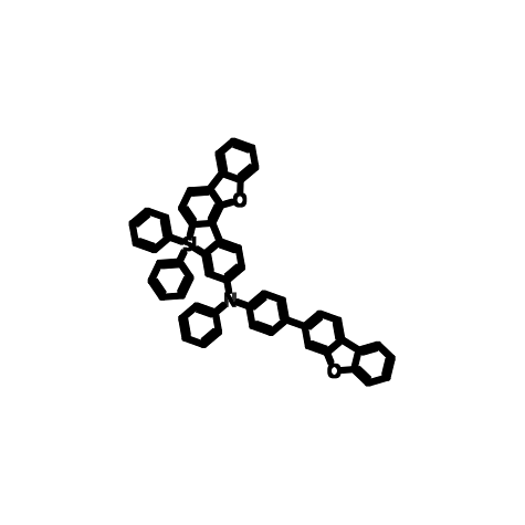 c1ccc(N(c2ccc(-c3ccc4c(c3)oc3ccccc34)cc2)c2ccc3c(c2)[Si](c2ccccc2)(c2ccccc2)c2ccc4c(oc5ccccc54)c2-3)cc1